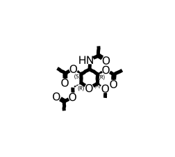 CO[C@@H]1O[C@H](COC(C)=O)[C@@H](OC(C)=O)C(NC(C)=O)[C@H]1OC(C)=O